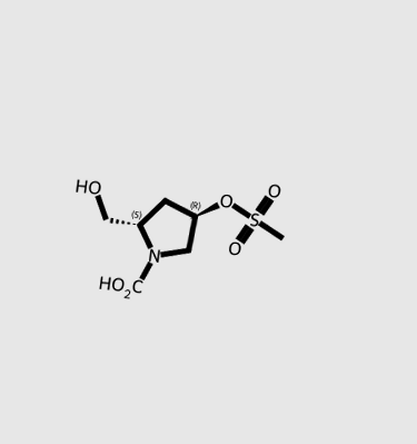 CS(=O)(=O)O[C@@H]1C[C@@H](CO)N(C(=O)O)C1